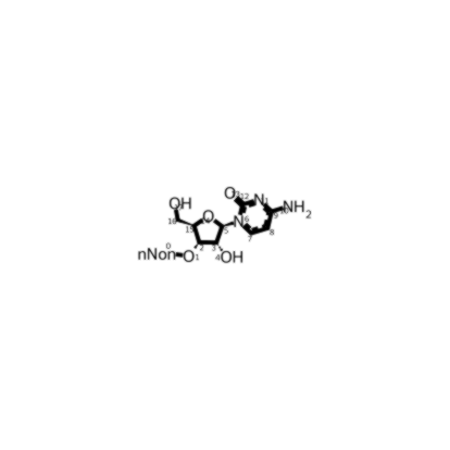 CCCCCCCCCO[C@H]1[C@@H](O)[C@H](n2ccc(N)nc2=O)O[C@@H]1CO